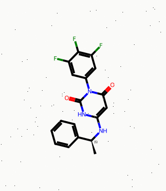 C[C@H](Nc1cc(=O)n(-c2cc(F)c(F)c(F)c2)c(=O)[nH]1)c1ccccc1